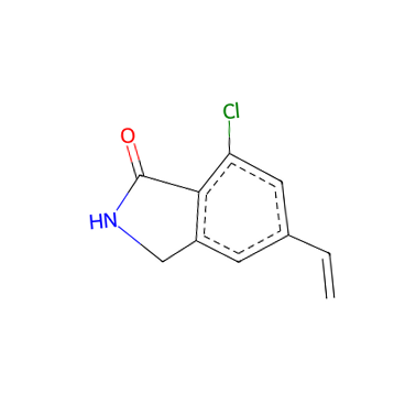 C=Cc1cc(Cl)c2c(c1)CNC2=O